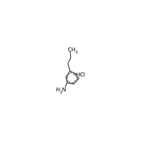 CCCc1cccc(N)c1.Cl